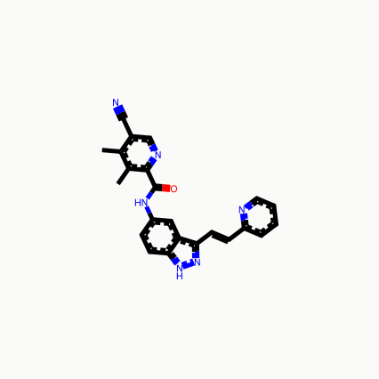 Cc1c(C#N)cnc(C(=O)Nc2ccc3[nH]nc(/C=C/c4ccccn4)c3c2)c1C